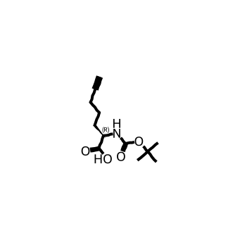 C#CCCC[C@@H](NC(=O)OC(C)(C)C)C(=O)O